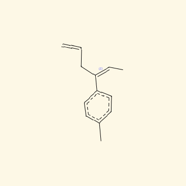 C=CC/C(=C/C)c1ccc(C)cc1